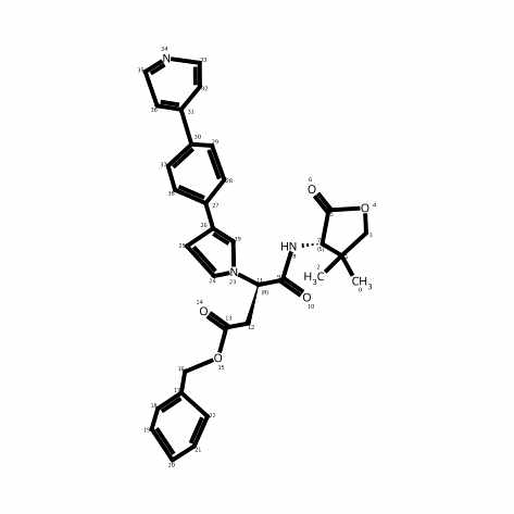 CC1(C)COC(=O)[C@H]1NC(=O)[C@@H](CC(=O)OCc1ccccc1)n1ccc(-c2ccc(-c3ccncc3)cc2)c1